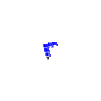 N.N.N.N.N.[Ti]